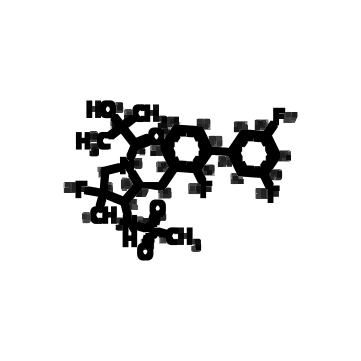 CC(C)(O)C(=O)N1CC(C)(F)C(NS(C)(=O)=O)[C@@H]1Cc1cccc(-c2cc(F)cc(F)c2)c1F